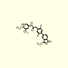 Cc1n[nH]c2ccc(-c3cc(F)c(CC(=O)NC4=CNC(C)C(C(F)(F)F)=C4)cc3F)cc12